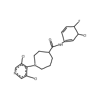 O=C(NC1=CC(Cl)C(F)C=C1)C1CCCN(c2c(Cl)cncc2Cl)CC1